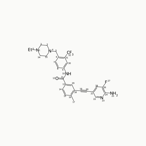 CCN1CCN(Cc2ccc(NC(=O)c3ccc(C)c(C#Cc4cnc(N)c(F)c4)c3)cc2C(F)(F)F)CC1